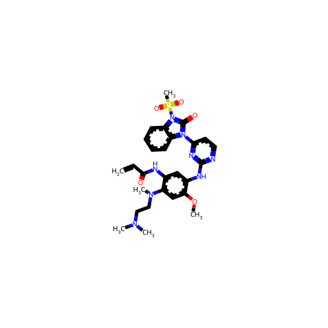 C=CC(=O)Nc1cc(Nc2nccc(-n3c(=O)n(S(C)(=O)=O)c4ccccc43)n2)c(OC)cc1N(C)CCN(C)C